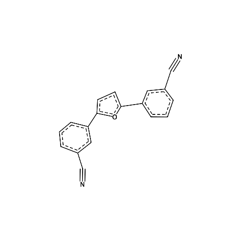 N#Cc1cccc(-c2ccc(-c3cccc(C#N)c3)o2)c1